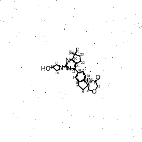 O=C1COCC2(CCc3cc(-c4nc(N5CC(O)C5)nc5c4CCC5(F)F)ccc32)N1